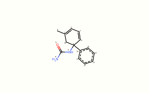 CC1=CC=CC(NC(N)=O)(c2ccccc2)C1